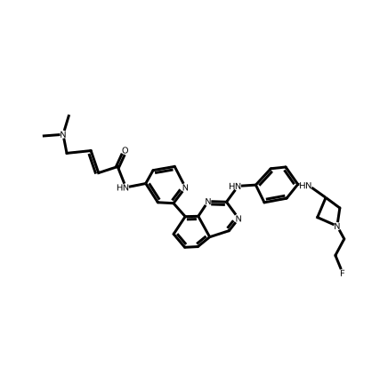 CN(C)CC=CC(=O)Nc1ccnc(-c2cccc3cnc(Nc4ccc(NC5CN(CCF)C5)cc4)nc23)c1